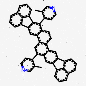 Cc1cnccc1-c1cc2c3cc4c(c(-c5ccncc5C)c3ccc2c2cc3c(cc12)-c1cccc2cccc-3c12)-c1cccc2cccc-4c12